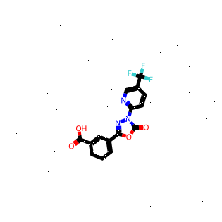 O=C(O)C1=CC(c2nn(-c3ccc(C(F)(F)F)cn3)c(=O)o2)=CCC1